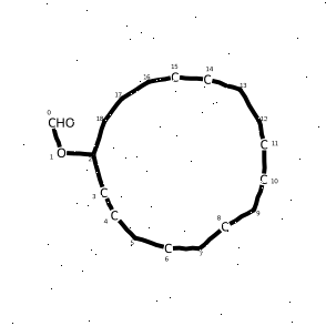 O=COC1CCCCCCCCCCCCCCCC1